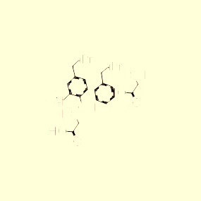 CC(C)Cc1ccc(O)[c]([Al])c1.CC(C)Cc1ccccc1.CCC(=O)O.CCC(=O)O